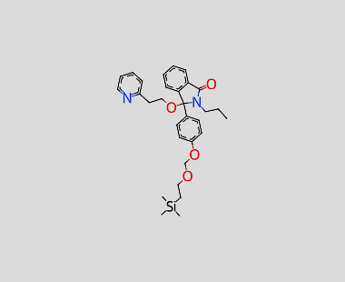 CCCN1C(=O)c2ccccc2C1(OCCc1ccccn1)c1ccc(OCOCC[Si](C)(C)C)cc1